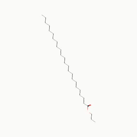 CCCCCCCCCCCCCCCCCCCCCCCC(=O)OCCC